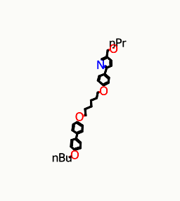 [CH2+][CH-]COCc1ccc(-c2ccc(OCCCCCCOc3ccc(-c4ccc(OCCCC)cc4)cc3)cc2)nc1